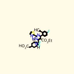 C#Cc1cc(F)ccc1C1N=C(c2nccs2)NC(CN2[C@@H]3CC(CC(=O)O)C[C@H]2C(F)(F)C3)=C1C(=O)OCC